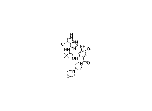 COc1cc(C(=O)N2CCC(N3CCOCC3)CC2)ccc1Nc1nc(N[C@@H](CO)C(C)(C)C)c2c(Cl)c[nH]c2n1